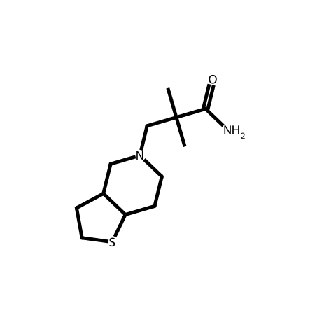 CC(C)(CN1CCC2SCCC2C1)C(N)=O